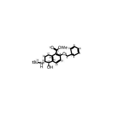 COC(=O)c1c(OCc2ccccc2)ccc2c1CC[C@@H](NC(C)(C)C)[C@@H]2O